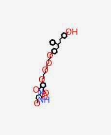 O=C1CCC(N2C(=O)c3ccc(OCCCOCCOCCOc4ccc(/C=C(/CCc5ccc(O)cc5)c5ccccc5)cc4)cc3C2=O)C(=O)N1